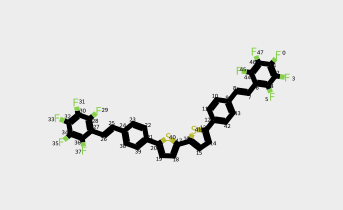 Fc1c(F)c(F)c(/C=C/c2ccc(-c3ccc(-c4ccc(-c5ccc(/C=C/c6c(F)c(F)c(F)c(F)c6F)cc5)s4)s3)cc2)c(F)c1F